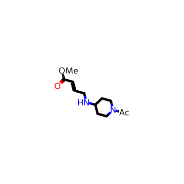 COC(=O)/C=C/CNC1CCN(C(C)=O)CC1